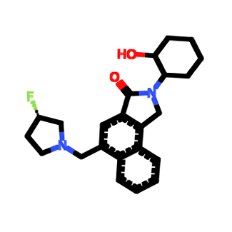 O=C1c2cc(CN3CC[C@H](F)C3)c3ccccc3c2CN1C1CCCCC1O